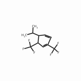 CC(C)C1C=CC(C(F)(F)F)=CC1C(F)(F)F